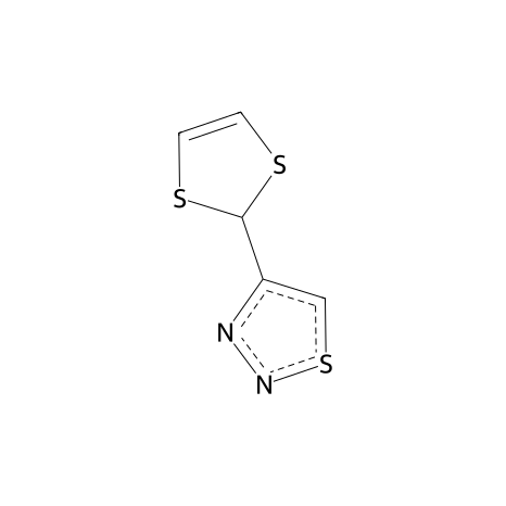 C1=CSC(c2csnn2)S1